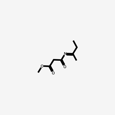 CCC(C)=NC(=O)CC(=O)OC